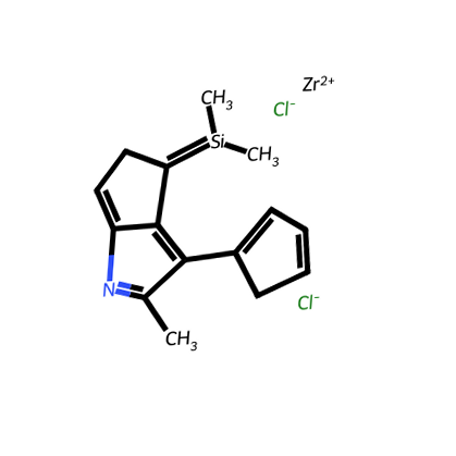 CC1=NC2=CCC(=[Si](C)C)C2=C1C1=CC=CC1.[Cl-].[Cl-].[Zr+2]